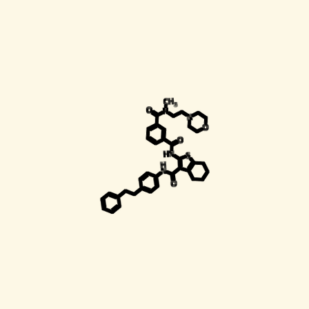 CN(CCN1CCOCC1)C(=O)c1cccc(C(=O)Nc2sc3c(c2C(=O)Nc2ccc(CCc4ccccc4)cc2)CCCC3)c1